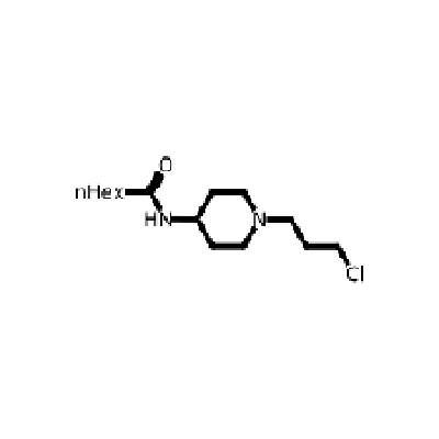 CCCCCCC(=O)NC1CCN(CCCCl)CC1